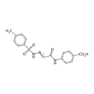 Cc1ccc(S(=O)(=O)N/N=C/C(=O)Nc2ccc(C(=O)O)cc2)cc1